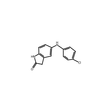 O=C1Cc2cc(Nc3ccc(Cl)cc3)ccc2N1